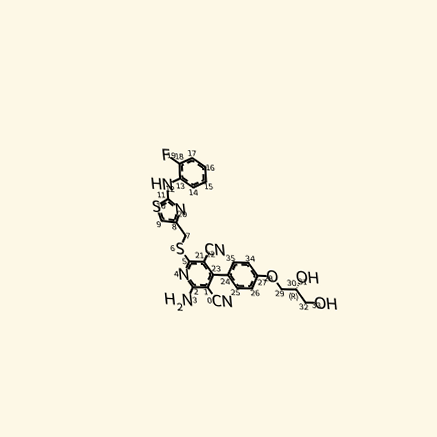 N#Cc1c(N)nc(SCc2csc(Nc3ccccc3F)n2)c(C#N)c1-c1ccc(OC[C@H](O)CO)cc1